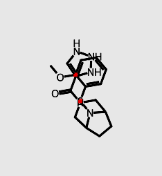 COc1ccccc1SN1C2CCC1CN(C(=O)C1=CNNN1)C2